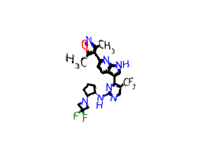 Cc1noc(C)c1-c1ccc2c(-c3nc(N[C@H]4CCC[C@H]4N4CC(F)(F)C4)ncc3C(F)(F)F)c[nH]c2n1